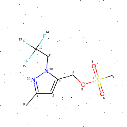 Cc1cc(COS(C)(=O)=O)n(CC(F)(F)F)n1